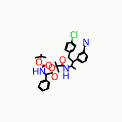 CC(NC(=O)C(C)(C)OC(=O)[C@H](NC(=O)OC(C)(C)C)c1ccccc1)C(Cc1ccc(Cl)cc1)c1cccc(C#N)c1